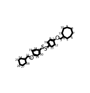 C1=C(OCC2CCCCCCC2)CCC(SSc2ccc(OCC3CCCCC3)cc2)=C1